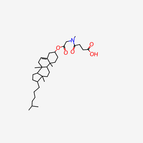 CC(C)CCCCC1CCC2C1(C)CCC1C3(C)CCC(OC(=O)CN(C)C(=O)CCC(=O)O)CC3=CCC12C